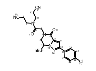 CCCCC1CN(CC(=O)N(CCC#N)CCC#N)C(=O)c2cc(-c3ccc(Cl)cc3)nn21